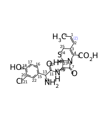 C/C=C\C1=C(C(=O)O)N2C(=O)[C@@H](NC(=O)C(N)c3ccc(O)c(Cl)c3)[C@@H]2SC1